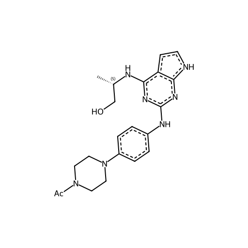 CC(=O)N1CCN(c2ccc(Nc3nc(N[C@@H](C)CO)c4cc[nH]c4n3)cc2)CC1